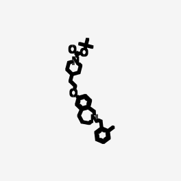 Cc1ccccc1CN1CCCc2cc(OCCC3CCN(C(=O)OC(C)(C)C)CC3)ccc2C1